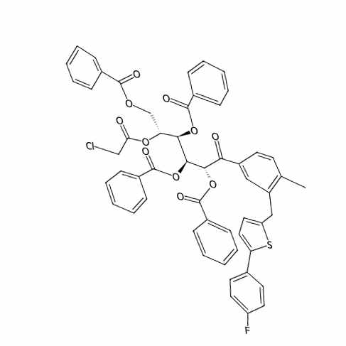 Cc1ccc(C(=O)[C@H](OC(=O)c2ccccc2)[C@@H](OC(=O)c2ccccc2)[C@H](OC(=O)c2ccccc2)[C@@H](COC(=O)c2ccccc2)OC(=O)CCl)cc1Cc1ccc(-c2ccc(F)cc2)s1